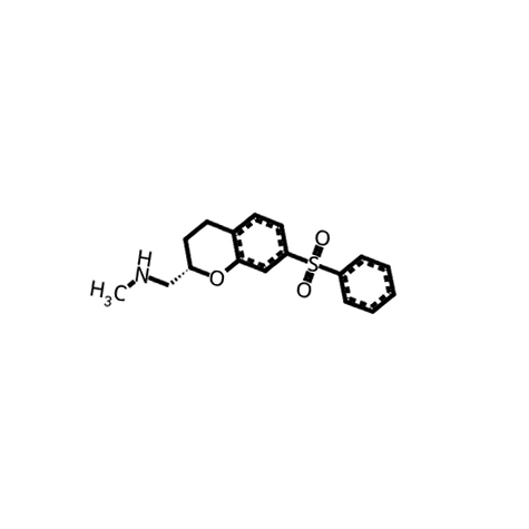 CNC[C@@H]1CCc2ccc(S(=O)(=O)c3ccccc3)cc2O1